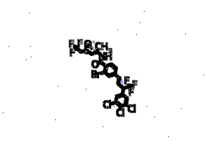 C[C@H](C[S+]([O-])CC(F)(F)F)NC(=O)c1ccc(/C=C/C(c2cc(Cl)c(Cl)c(Cl)c2)C(F)(F)F)cc1Br